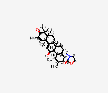 C[C@@H]1[C@H]2[C@H]3C(=O)C=C4[C@@]5(C)C=C(C#N)C(=O)C(C)(C)[C@@H]5CC[C@@]4(C)[C@]3(C)CC[C@@]2(CN2CCOC2=O)CC[C@H]1C